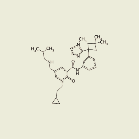 CC(C)CNCc1cc(C(=O)Nc2cccc(C3(c4nncn4C)CC(C)(C)C3)c2)c(=O)n(CCC2CC2)c1